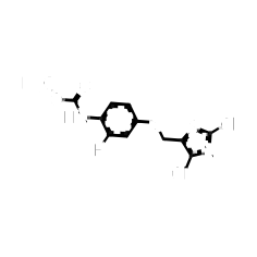 COC(=O)Nc1ccc(SCc2sc(Cl)nc2Cl)cc1F